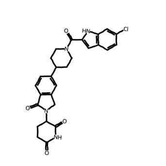 O=C1CCC(N2Cc3cc(C4CCN(C(=O)c5cc6ccc(Cl)cc6[nH]5)CC4)ccc3C2=O)C(=O)N1